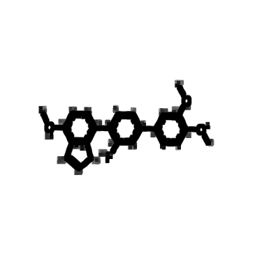 COc1ccc(-c2ccc(-c3ccc(OC)c4c3CC=C4)c(F)c2)cc1OC